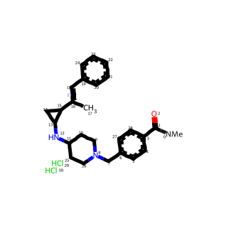 CNC(=O)c1ccc(CN2CCC(NC3CC3/C(C)=C/c3ccccc3)CC2)cc1.Cl.Cl